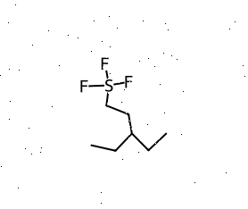 CCC(CC)CCS(F)(F)F